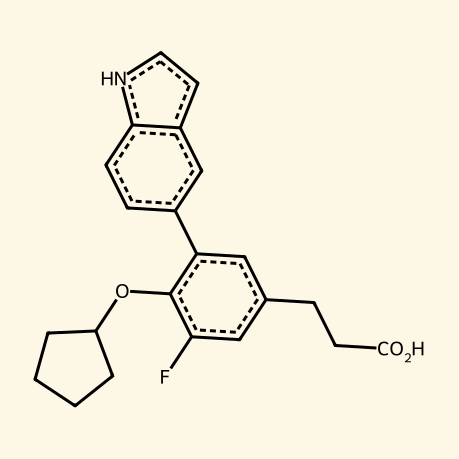 O=C(O)CCc1cc(F)c(OC2CCCC2)c(-c2ccc3[nH]ccc3c2)c1